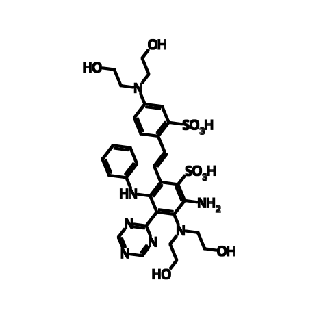 Nc1c(N(CCO)CCO)c(-c2ncncn2)c(Nc2ccccc2)c(C=Cc2ccc(N(CCO)CCO)cc2S(=O)(=O)O)c1S(=O)(=O)O